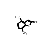 Bc1cc2c(C)ccc(C)c2o1